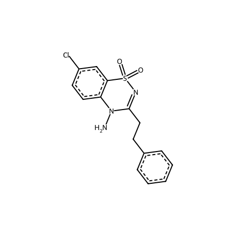 NN1C(CCc2ccccc2)=NS(=O)(=O)c2cc(Cl)ccc21